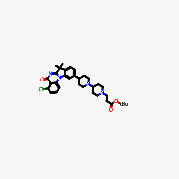 CC(C)(C)OC(=O)CCN1CCC(N2CCC(c3ccc4c(c3)-n3c(nc(=O)c5c(Cl)cccc53)C4(C)C)CC2)CC1